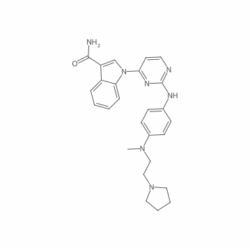 CN(CCN1CCCC1)c1ccc(Nc2nccc(-n3cc(C(N)=O)c4ccccc43)n2)cc1